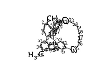 Cc1ccc2c(c1)C1(c3ccc(cc3)OCCCCCCCOc3ccc1cc3)c1cccc3c(C)ccc-2c13